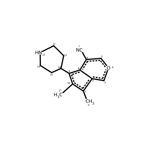 Cc1c2cocc(C#N)c-2c(C2CCNCC2)c1C